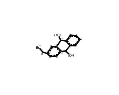 OC1c2ccccc2C(O)c2cc(CBr)ccc21